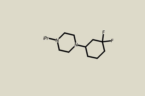 CC(C)N1CCN(C2CCCC(F)(F)C2)CC1